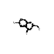 O=c1cc(CCl)oc2ccc(Br)cc12